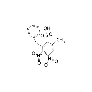 Cc1cc([N+](=O)[O-])c([N+](=O)[O-])c(Cc2ccccc2)c1S(=O)(=O)O